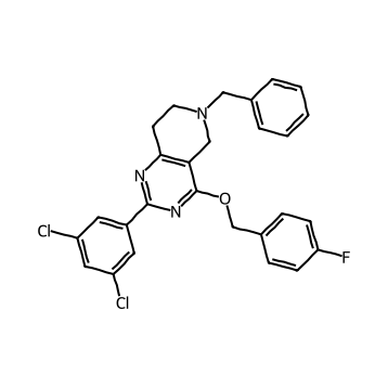 Fc1ccc(COc2nc(-c3cc(Cl)cc(Cl)c3)nc3c2CN(Cc2ccccc2)CC3)cc1